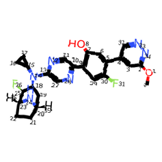 COc1cc(-c2cc(O)c(-c3cnc(N(C4CC4)[C@H]4C[C@@H]5CC[C@@H](N5)[C@H]4F)cn3)cc2F)cnn1